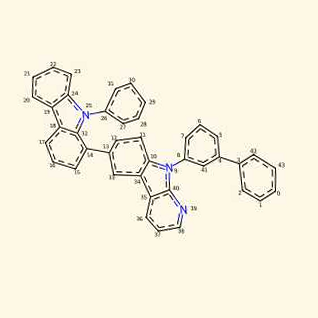 c1ccc(-c2cccc(-n3c4ccc(-c5cccc6c7ccccc7n(-c7ccccc7)c56)cc4c4cccnc43)c2)cc1